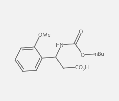 CCCCOC(=O)NC(CC(=O)O)c1ccccc1OC